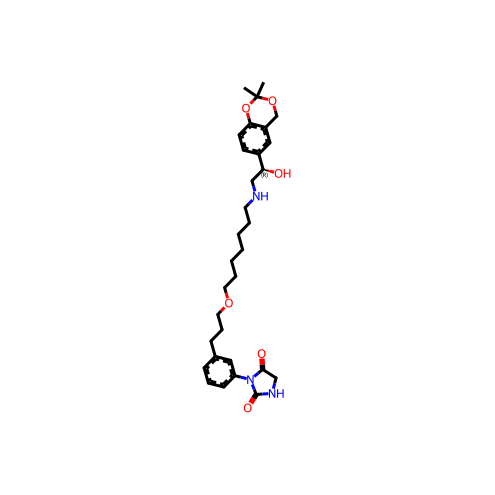 CC1(C)OCc2cc([C@@H](O)CNCCCCCCCOCCCc3cccc(N4C(=O)CNC4=O)c3)ccc2O1